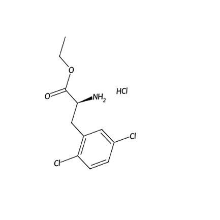 CCOC(=O)[C@@H](N)Cc1cc(Cl)ccc1Cl.Cl